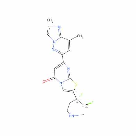 Cc1cn2nc(-c3cc(=O)n4cc([C@]5(F)CCNC[C@@H]5F)sc4n3)cc(C)c2n1